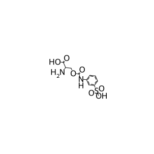 NC(COC(=O)Nc1cccc(S(=O)(=O)O)c1)C(=O)O